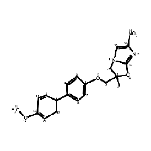 CC1(COc2ccc(C3C=CC(OC(F)(F)F)=CC3)cc2)Cn2cc([N+](=O)[O-])nc2O1